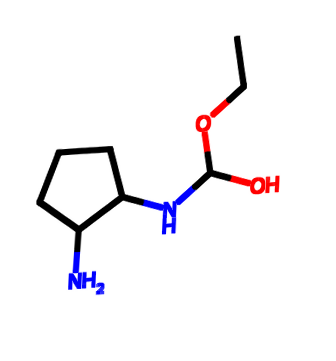 CCOC(O)NC1CCCC1N